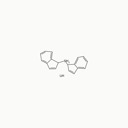 C1=CC([SiH2]C2C=Cc3ccccc32)c2ccccc21.[LiH]